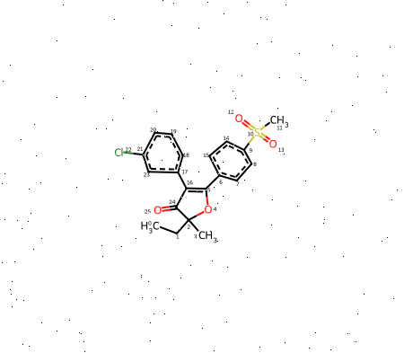 CCC1(C)OC(c2ccc(S(C)(=O)=O)cc2)=C(c2cccc(Cl)c2)C1=O